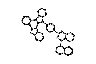 c1ccc2c(-c3nc(-c4ccc(-n5c6ccccc6c6c7ccccc7c7sc8ccccc8c7c65)cc4)nc4ncccc34)cccc2c1